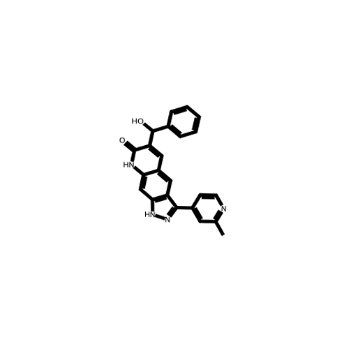 Cc1cc(-c2n[nH]c3cc4[nH]c(=O)c(C(O)c5ccccc5)cc4cc23)ccn1